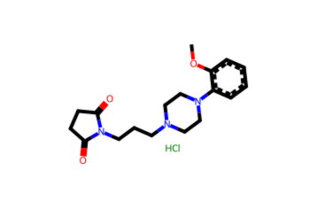 COc1ccccc1N1CCN(CCCN2C(=O)CCC2=O)CC1.Cl